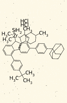 CC1=Cc2c(-c3ccc(C45CC6CC(CC(C6)C4)C5)cc3)cccc2[CH]1[Zr]([CH3])([CH3])(=[SiH2])[CH]1C(C2CCC(C)CC2)=Cc2c(-c3ccc(C(C)(C)C)cc3)cccc21.Cl.Cl